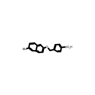 CCC(C)c1ccc2cc(OCc3ccc(S(=O)(=O)O)cc3)ccc2c1